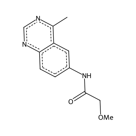 COCC(=O)Nc1ccc2ncnc(C)c2c1